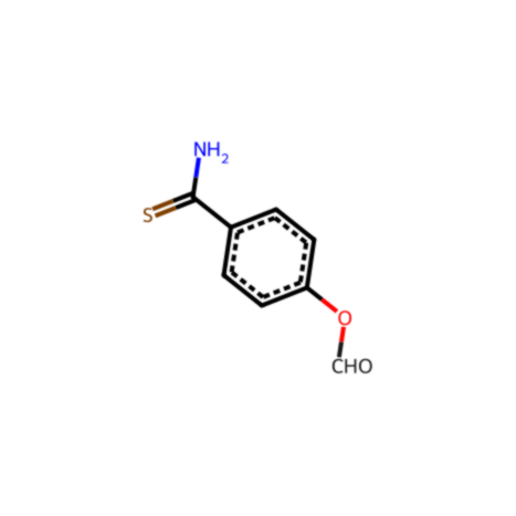 NC(=S)c1ccc(OC=O)cc1